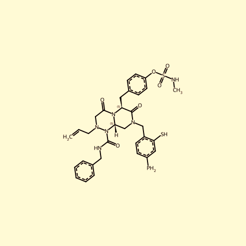 C=CCN1CC(=O)N2[C@@H](Cc3ccc(OS(=O)(=O)NC)cc3)C(=O)N(Cc3ccc(P)cc3S)C[C@@H]2N1C(=O)NCc1ccccc1